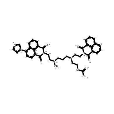 CC(=O)OCCN(CCCN(C)CCN1C(=O)c2cccc3c(-n4ccnc4)ccc(c23)C1=O)CCN1C(=O)c2cccc3cccc(c23)C1=O